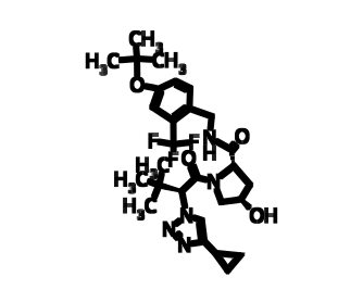 CC(C)(C)Oc1ccc(CNC(=O)[C@@H]2C[C@@H](O)CN2C(=O)[C@@H](n2cc(C3CC3)nn2)C(C)(C)C)c(C(F)(F)F)c1